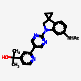 CC(=O)Nc1ccc2c(c1)N(c1ncc(-c3cc(C(C)(C)O)ccn3)cn1)CC21CC1